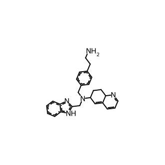 NCCc1ccc(CN(Cc2nc3ccccc3[nH]2)C2C=C3C=CC=NC3CC2)cc1